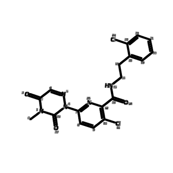 Cn1c(=O)cnn(-c2ccc(Cl)c(C(=O)NCCc3ccccc3Cl)n2)c1=O